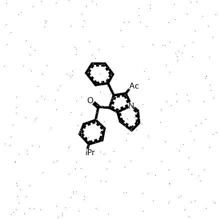 CC(=O)c1c(-c2ccccc2)c(C(=O)c2ccc(C(C)C)cc2)c2ccccn12